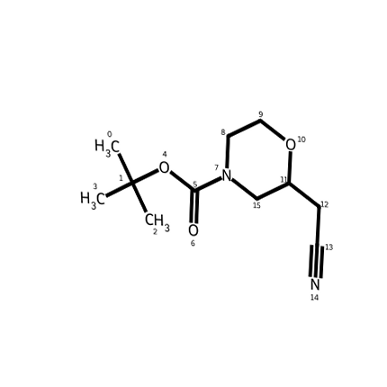 CC(C)(C)OC(=O)N1CCOC(CC#N)C1